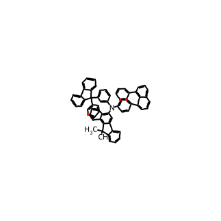 CC1(C)c2ccccc2-c2cc(N(c3ccc(-c4cccc5cccc(-c6ccccc6)c45)cc3)c3cccc(C4(c5ccccc5)c5ccccc5-c5ccccc54)c3)c3ccccc3c21